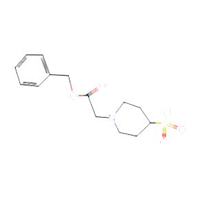 O=C(CN1CCC(S(=O)(=O)Cl)CC1)OCc1ccccc1